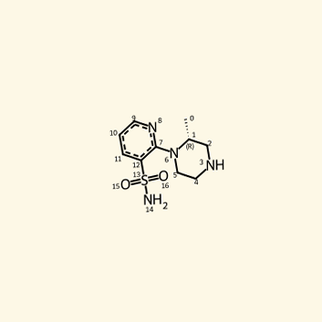 C[C@@H]1CNCCN1c1ncccc1S(N)(=O)=O